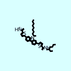 C=C(NC)c1ccc(-c2ccc3c4ccc(-c5ccc(C(=C)NCC(CC)CCCC)s5)cc4n(C(C)CCCCCCCC)c3c2)s1